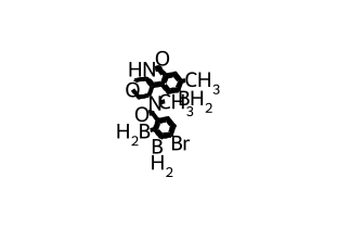 Bc1cc2c3c([nH]c(=O)c2cc1C)COCC3N(C)C(=O)c1ccc(Br)c(B)c1B